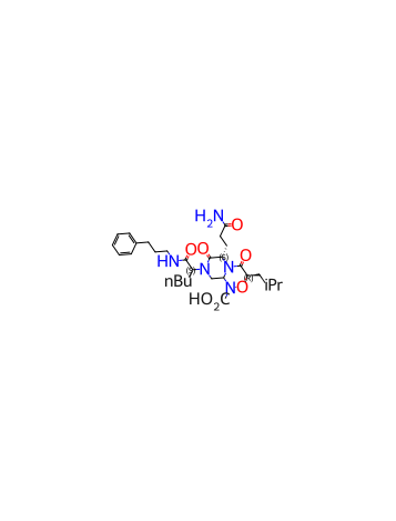 CCCC[C@@H](C(=O)NCCCc1ccccc1)N1CC2N(C(=O)O)O[C@H](CC(C)C)C(=O)N2[C@@H](CCC(N)=O)C1=O